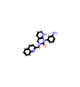 Nc1cccc(N2C(=O)N(Cc3ccc4ccccc4n3)CC3=C2NCC=C3)c1